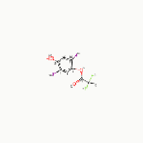 CC(F)(F)C(=O)Oc1cc(I)c(O)cc1I